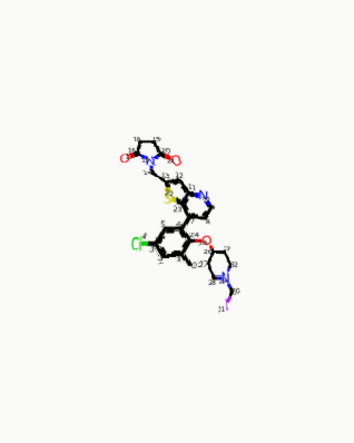 Cc1cc(Cl)cc(-c2ccnc3cc(CN4C(=O)CCC4=O)sc23)c1OC1CCN(CI)CC1